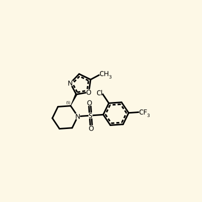 Cc1cnc([C@@H]2CCCCN2S(=O)(=O)c2ccc(C(F)(F)F)cc2Cl)o1